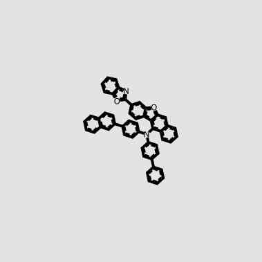 c1ccc(-c2ccc(N(c3ccc(-c4ccc5ccccc5c4)cc3)c3c4ccccc4cc4oc5cc(-c6nc7ccccc7o6)ccc5c34)cc2)cc1